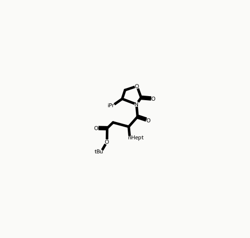 CCCCCCCC(CC(=O)OC(C)(C)C)C(=O)N1C(=O)OCC1C(C)C